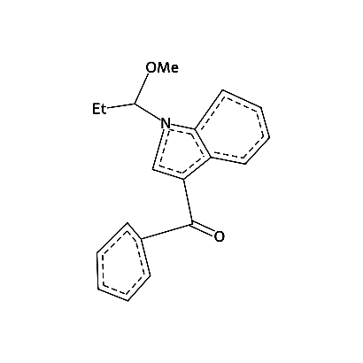 CCC(OC)n1cc(C(=O)c2ccccc2)c2ccccc21